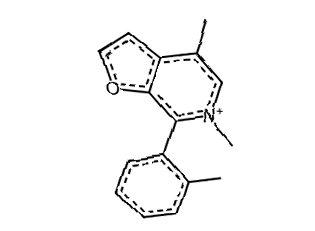 Cc1ccccc1-c1c2occc2c(C)c[n+]1C